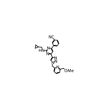 COCc1cccc(Cn2cc(-c3cc(-c4cccc(C#N)c4)nc(NCC4CC4)n3)nn2)n1